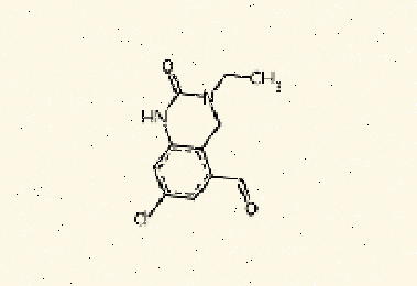 CCN1Cc2c(C=O)cc(Cl)cc2NC1=O